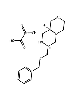 O=C(O)C(=O)O.c1ccc(COC[C@@H]2CN3CCOC[C@@H]3CN2)cc1